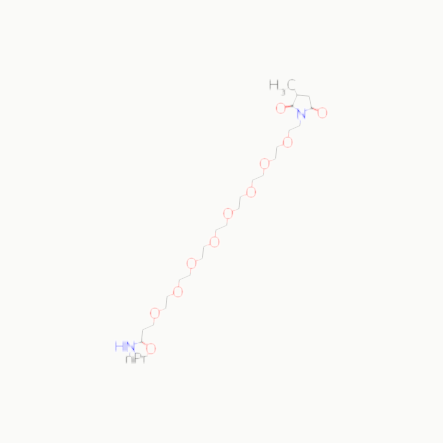 CCCNC(=O)CCOCCOCCOCCOCCOCCOCCOCCOCCN1C(=O)CC(C)C1=O